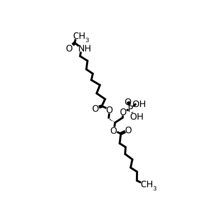 CCCCCCCCC(=O)O[C@H](COC(=O)CCCCCCCCNC(C)=O)COP(=O)(O)O